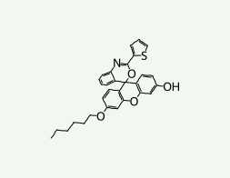 CCCCCCOc1ccc2c(c1)Oc1cc(O)ccc1C21OC(c2cccs2)=Nc2ccccc21